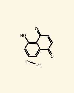 CC(C)O.O=C1C=CC(=O)c2c(O)cccc21